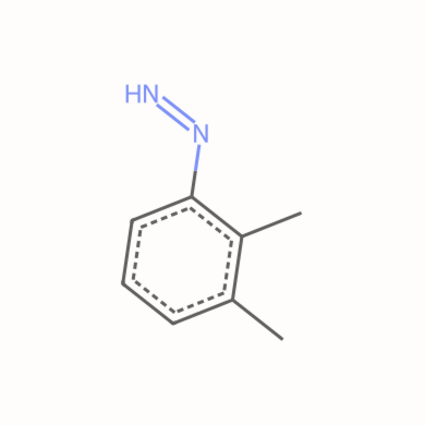 Cc1cccc(N=N)c1C